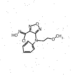 COCCN(c1ccccc1)c1nonc1C(Cl)=NO